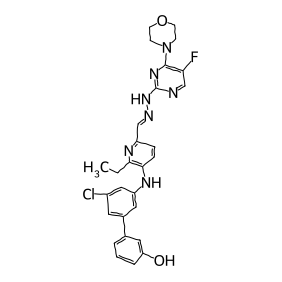 CCc1nc(/C=N/Nc2ncc(F)c(N3CCOCC3)n2)ccc1Nc1cc(Cl)cc(-c2cccc(O)c2)c1